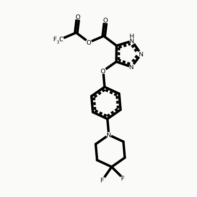 O=C(OC(=O)C(F)(F)F)c1[nH]nnc1Oc1ccc(N2CCC(F)(F)CC2)cc1